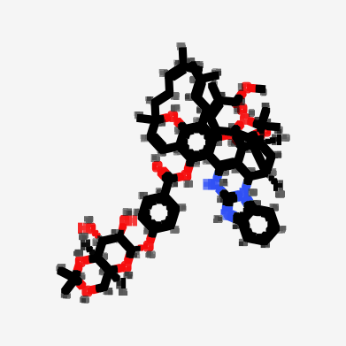 COC(=O)/C(C)=C\CC12OC(C)(C)[C@H]3C[C@H](C1=O)C1C4=C(Nc5nc6ccccc6n51)c1c(OC(=O)c5ccc(O[C@@H]6O[C@@H]7COC(C)(C)O[C@H]7[C@H](O)[C@H]6O)cc5)c5c(c(CC=C(C)C)c1OC432)OC(C)(CCC=C(C)C)C=C5